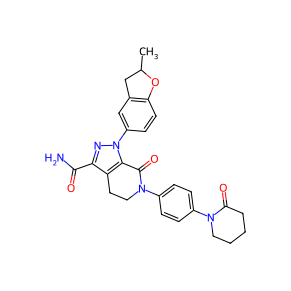 CC1Cc2cc(-n3nc(C(N)=O)c4c3C(=O)N(c3ccc(N5CCCCC5=O)cc3)CC4)ccc2O1